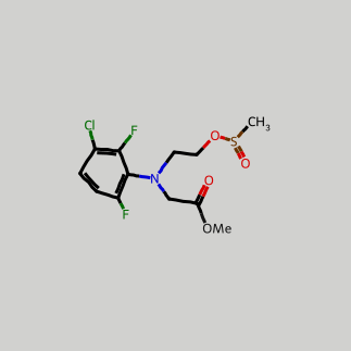 COC(=O)CN(CCOS(C)=O)c1c(F)ccc(Cl)c1F